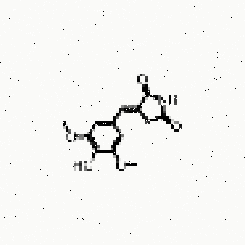 COc1cc(/C=C2\CC(=O)NC2=O)cc(OC)c1O